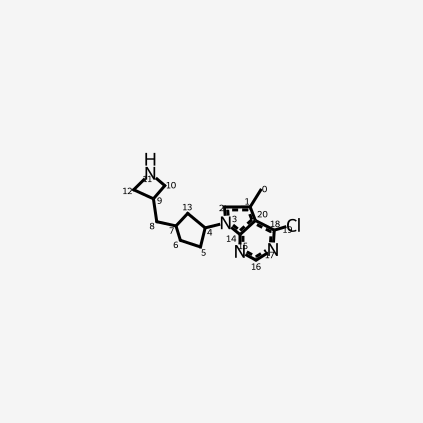 Cc1cn(C2CCC(CC3CNC3)C2)c2ncnc(Cl)c12